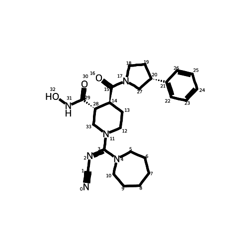 N#C/N=C(\N1CCCCCC1)N1CC[C@H](C(=O)N2CC[C@H](c3ccccc3)C2)[C@@H](C(=O)NO)C1